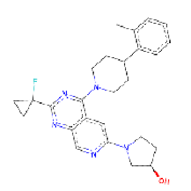 Cc1ccccc1C1CCN(c2nc(C3(F)CC3)nc3cnc(N4CC[C@@H](O)C4)cc23)CC1